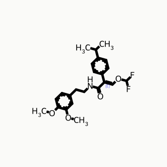 COc1ccc(CCNC(=O)/C(=C/OC(F)F)c2ccc(C(C)C)cc2)cc1OC